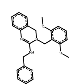 COc1cccc(OC)c1CN1Cc2ccccc2N=C1NCc1ccccn1